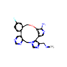 C=NCc1ncn2c1-c1cnc(N)c(c1)OCc1cc(F)ccc1-c1cncnc1C2